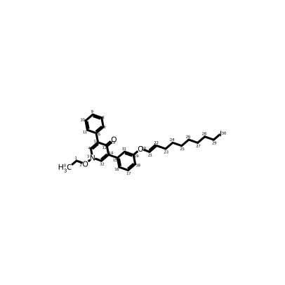 CCOn1cc(-c2ccccc2)c(=O)c(-c2cccc(O/C=C/CCCCCCCI)c2)c1